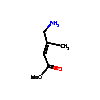 COC(=O)/C=C(\C)CN